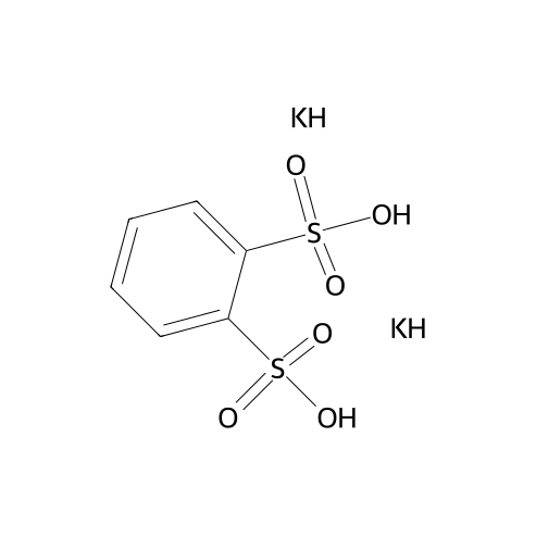 O=S(=O)(O)c1ccccc1S(=O)(=O)O.[KH].[KH]